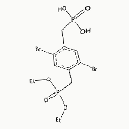 CCOP(=O)(Cc1cc(Br)c(CP(=O)(O)O)cc1Br)OCC